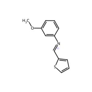 COc1cccc(/N=C/c2cccs2)c1